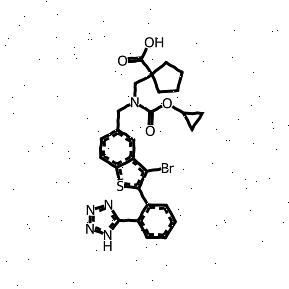 O=C(OC1CC1)N(Cc1ccc2sc(-c3ccccc3-c3nnn[nH]3)c(Br)c2c1)CC1(C(=O)O)CCCC1